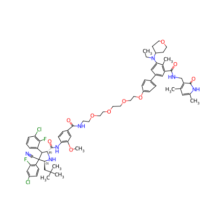 CCN(c1cc(-c2ccc(OCCOCCOCCOCCNC(=O)c3ccc(NC(=O)[C@@H]4N[C@@H](CC(C)(C)C)C(C#N)(c5ccc(Cl)cc5F)C4c4cccc(Cl)c4F)c(OC)c3)cc2)cc(C(=O)NCc2c(C)cc(C)[nH]c2=O)c1C)C1CCOCC1